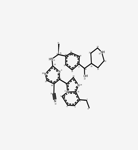 CCc1cccn2c(-c3nc(N[C@@H](C)c4ccc(C(O)C5CCNCC5)cc4)ncc3C#N)cnc12